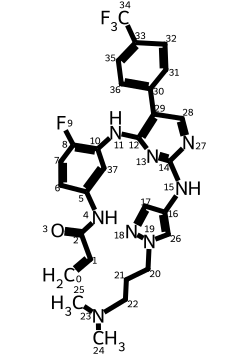 C=CC(=O)Nc1ccc(F)c(Nc2nc(Nc3cnn(CCCN(C)C)c3)ncc2-c2ccc(C(F)(F)F)cc2)c1